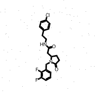 O=C(CC1CCC(=O)N1Cc1cccc(F)c1F)NCCc1ccc(Cl)cc1